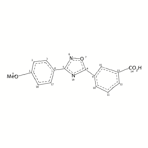 COc1ccc(-c2noc(-c3cccc(C(=O)O)c3)n2)cc1